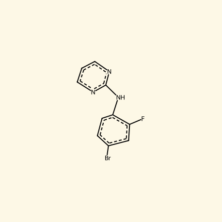 Fc1cc(Br)ccc1Nc1ncccn1